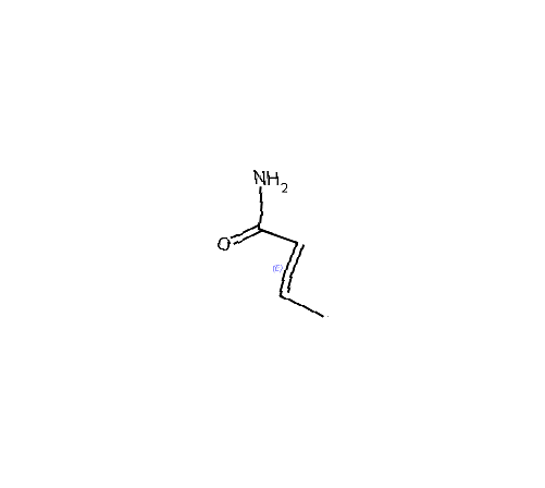 [CH2]/C=C/C(N)=O